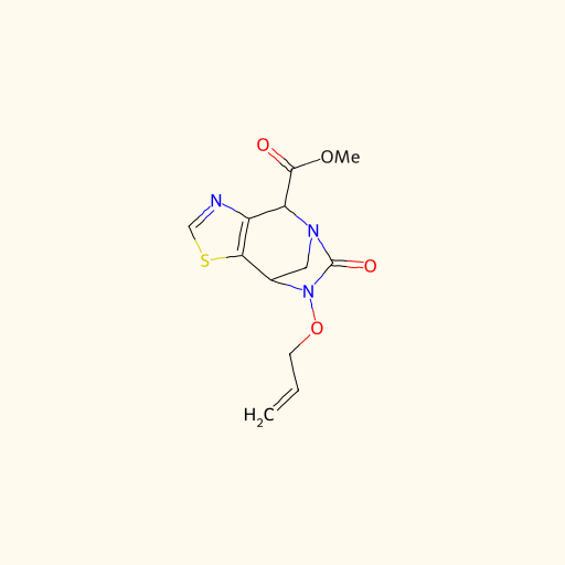 C=CCON1C(=O)N2CC1c1scnc1C2C(=O)OC